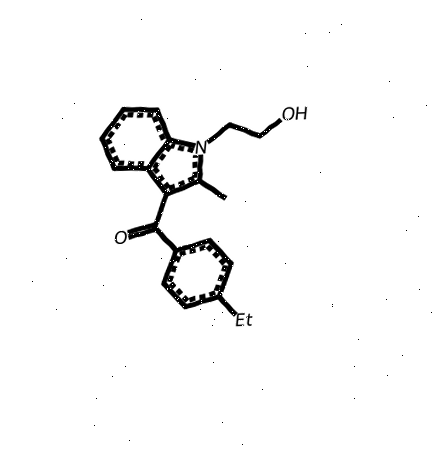 CCc1ccc(C(=O)c2c(C)n(CCO)c3ccccc23)cc1